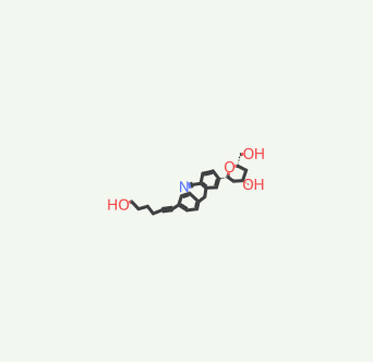 N#Cc1ccc([C@H]2C[C@@H](O)C[C@@H](CO)O2)cc1Cc1ccc(C#CCCCCO)cc1